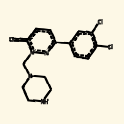 O=c1ccc(-c2ccc(Cl)c(Cl)c2)nn1CN1CCNCC1